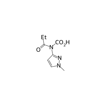 CCC(=O)N(C(=O)O)c1ccn(C)n1